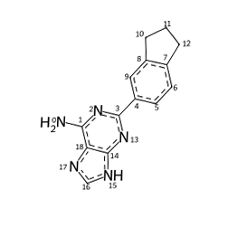 Nc1nc(-c2ccc3c(c2)CCC3)nc2[nH]cnc12